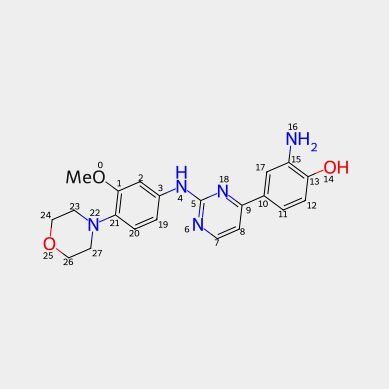 COc1cc(Nc2nccc(-c3ccc(O)c(N)c3)n2)ccc1N1CCOCC1